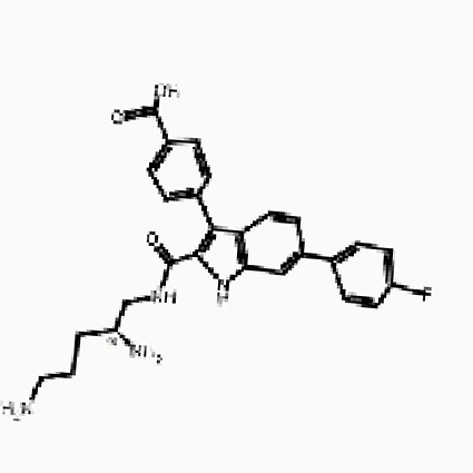 NCCC[C@H](N)CNC(=O)c1[nH]c2cc(-c3ccc(F)cc3)ccc2c1-c1ccc(C(=O)O)cc1